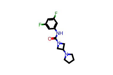 O=C(Nc1cc(F)cc(F)c1)N1CC(N2CCCC2)C1